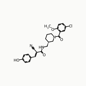 COc1ccc(Cl)cc1C(=O)N1CCC[C@H](CNC(=O)/C(C#N)=C/c2ccc(O)cc2)C1